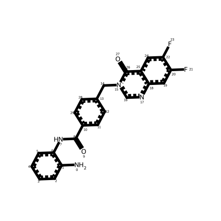 Nc1ccccc1NC(=O)c1ccc(Cn2cnc3cc(F)c(F)cc3c2=O)cc1